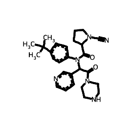 CC(C)(C)c1ccc(N(C(=O)C2CCCN2C#N)C(C(=O)N2CCNCC2)c2cccnc2)cc1